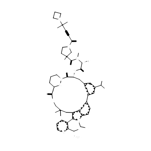 CO[C@@H](C)c1ncccc1-c1c2c3cc(ccc3n1CC(F)(F)F)-c1cc(cc(C(F)F)c1)C[C@H](NC(=O)[C@H](C(C)C)N(C)C(=O)C1(O)CCN(C(=O)C#CC(C)(C)N3CCC3)C1)C(=O)N1CCC[C@@](O)(N1)C(=O)OCC(C)(C)C2